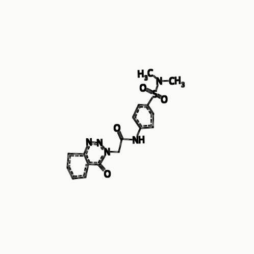 CN(C)S(=O)(=O)c1ccc(NC(=O)Cn2nnc3ccccc3c2=O)cc1